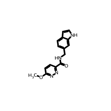 COc1ccc(C(=O)NCc2ccc3cc[nH]c3c2)nn1